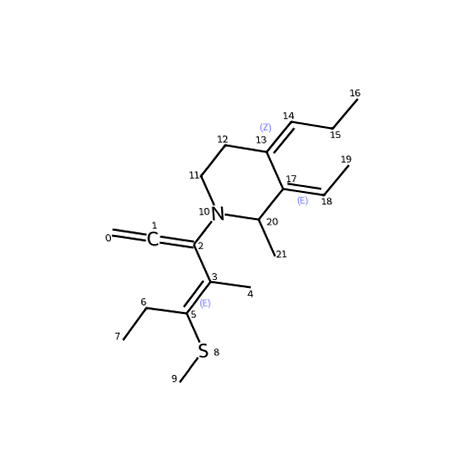 C=C=C(/C(C)=C(\CC)SC)N1CCC(=C/CC)/C(=C\C)C1C